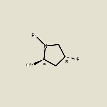 CCC[C@@H]1C[C@@H](F)CN1C(C)C